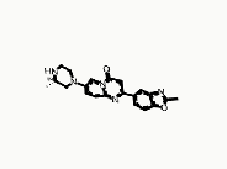 Cc1nc2cc(-c3cc(=O)n4cc(N5CCN[C@@H](C)C5)ccc4n3)ccc2o1